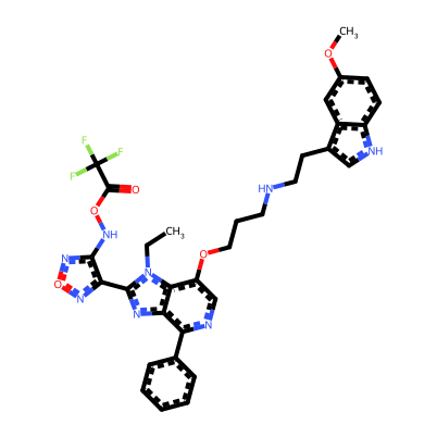 CCn1c(-c2nonc2NOC(=O)C(F)(F)F)nc2c(-c3ccccc3)ncc(OCCCNCCc3c[nH]c4ccc(OC)cc34)c21